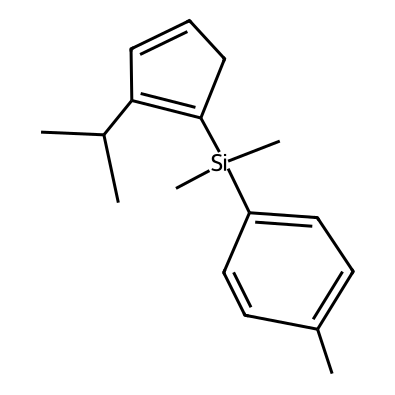 Cc1ccc([Si](C)(C)C2=C(C(C)C)C=CC2)cc1